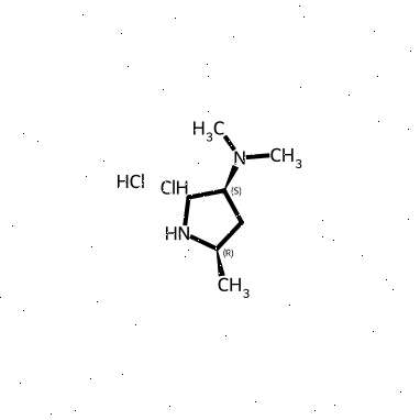 C[C@@H]1C[C@H](N(C)C)CN1.Cl.Cl